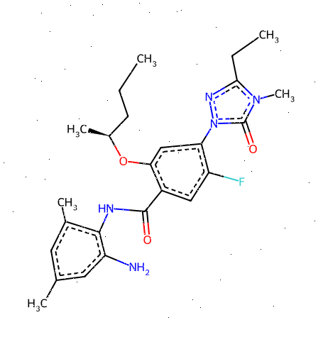 CCC[C@H](C)Oc1cc(-n2nc(CC)n(C)c2=O)c(F)cc1C(=O)Nc1c(C)cc(C)cc1N